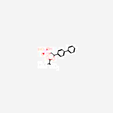 C=C(C)C(=O)OC(COP(=O)(O)O)c1ccc(-c2ccccc2)cc1